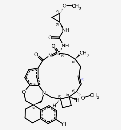 CO[C@H]1/C=C/C[C@H](C)C[S@@](=O)(NC(=O)N[C@H]2C[C@@H]2OC)=NC(=O)c2ccc3c(c2)N(C[C@@H]2CC[C@H]21)C[C@@]1(CCCc2cc(Cl)ccc21)CO3